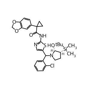 CC(C)(C)[Si](C)(C)[C@@H]1CCN(C(c2cnc(NC(=O)C3(c4ccc5c(c4)OCO5)CC3)s2)c2ccccc2Cl)[C@@H]1O